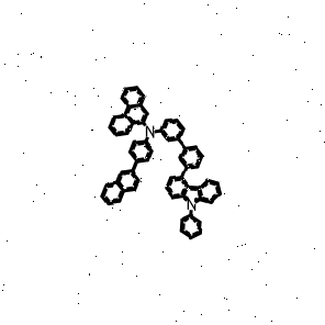 c1ccc(-n2c3ccccc3c3c(-c4cccc(-c5cccc(N(c6ccc(-c7ccc8ccccc8c7)cc6)c6cc7ccccc7c7ccccc67)c5)c4)cccc32)cc1